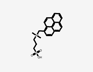 C[N+](C)(CCCS(=O)(=O)O)Cc1ccc2ccc3cccc4ccc1c2c34